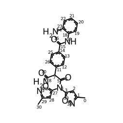 Cc1cc(N(C(=O)C(C(N)=O)c2ccc(C(=O)Nc3ccccc3N)cc2)c2cc(C)no2)on1